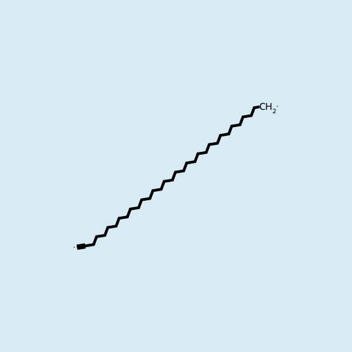 [C]#CCCCCCCCCCCCCCCCCCCCCCCCCCCCCCC[CH2]